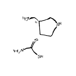 NC(=S)S.O[C@@H]1CCNC1